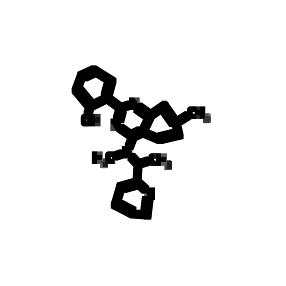 Cc1ccc2c(N(C)C(C)c3ccccn3)nc(-c3ccccc3O)nc2c1